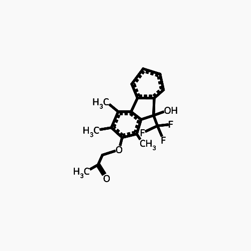 CC(=O)COc1c(C)c(C)c2c(c1C)C(O)(C(F)(F)F)c1ccccc1-2